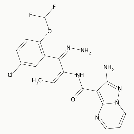 C/C=C(NC(=O)c1c(N)nn2cccnc12)\C(=N/N)c1cc(Cl)ccc1OC(F)F